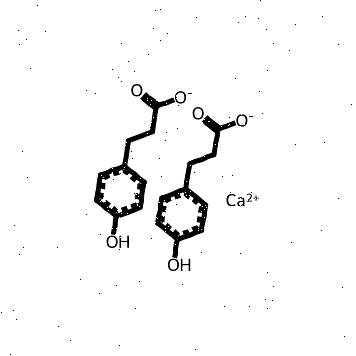 O=C([O-])CCc1ccc(O)cc1.O=C([O-])CCc1ccc(O)cc1.[Ca+2]